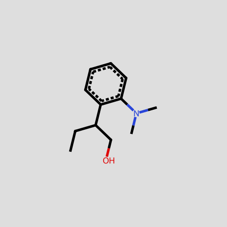 CCC(CO)c1ccccc1N(C)C